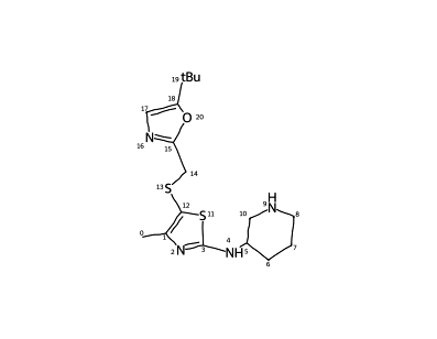 Cc1nc(NC2CCCNC2)sc1SCc1ncc(C(C)(C)C)o1